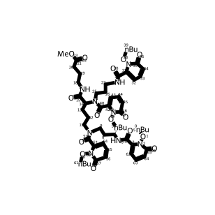 CCCCOn1c(C(=O)NCCCN(CCCC(C(=O)NCCCC(=O)OC)N(CCCNC(=O)c2cccc(=O)n2OCCCC)C(=O)c2cccc(=O)n2OCCCC)C(=O)c2cccc(=O)n2OCCCC)cccc1=O